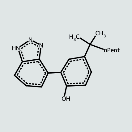 CCCCCC(C)(C)c1ccc(O)c(-c2cccc3[nH]nnc23)c1